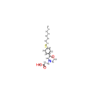 CCCCCCCCSc1ccc(C2CN(CCC(=O)O)CCO2)cc1